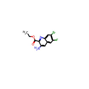 CCOC(=O)c1nc2cc(Br)c(F)cc2cc1N